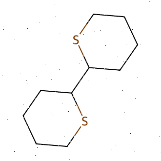 C1CCC(C2CCCCS2)SC1